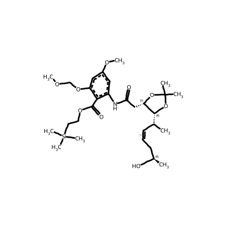 COCOc1cc(OC)cc(NC(=O)C[C@@H]2OC(C)(C)O[C@@H]2C(C)/C=C\C[C@@H](C)O)c1C(=O)OCC[Si](C)(C)C